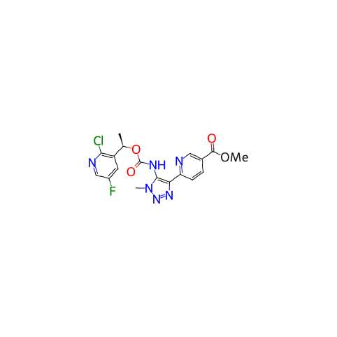 COC(=O)c1ccc(-c2nnn(C)c2NC(=O)O[C@H](C)c2cc(F)cnc2Cl)nc1